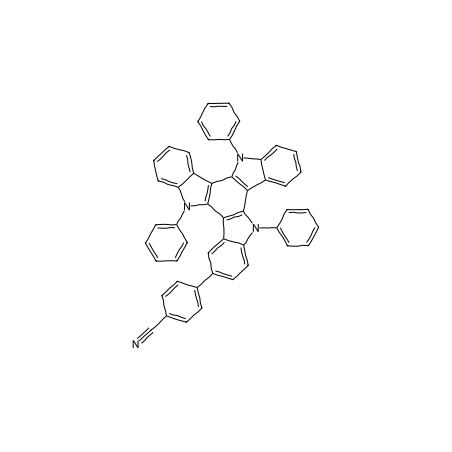 N#Cc1ccc(-c2ccc3c(c2)c2c4c(c5ccccc5n4-c4ccccc4)c4c(c5ccccc5n4-c4ccccc4)c2n3-c2ccccc2)cc1